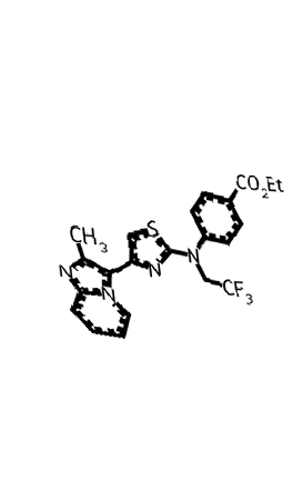 CCOC(=O)c1ccc(N(CC(F)(F)F)c2nc(-c3c(C)nc4ccccn34)cs2)cc1